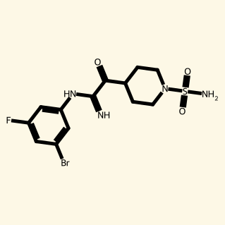 N=C(Nc1cc(F)cc(Br)c1)C(=O)C1CCN(S(N)(=O)=O)CC1